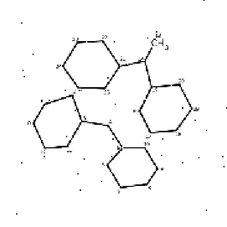 C1CCC(CC2CCCCC2)CC1.CC(C1CCCCC1)C1CCCCC1